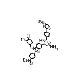 [CH2]CN(C[CH2])c1ccc(-c2nc3cc(C(CC(N)=O)NCc4ccc(-c5nc(C(C)(C)C)cs5)cc4)ccc3n2Cc2ccc(Cl)c(Cl)c2)cc1